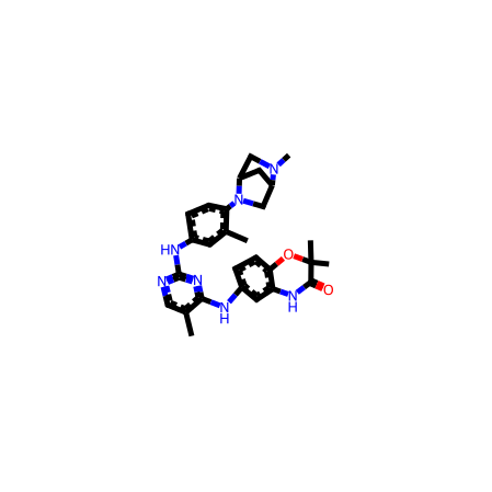 Cc1cc(Nc2ncc(C)c(Nc3ccc4c(c3)NC(=O)C(C)(C)O4)n2)ccc1N1CC2CC1CN2C